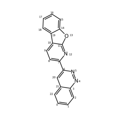 c1ccc2nnc(-c3ccc4c(n3)oc3ccccc34)cc2c1